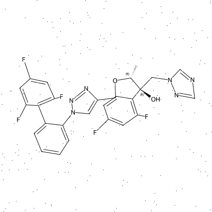 C[C@@H](OCc1cn(-c2ccccc2-c2c(F)cc(F)cc2F)nn1)[C@](O)(Cn1cncn1)c1ccc(F)cc1F